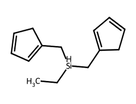 CC[SiH](CC1=CC=CC1)CC1=CC=CC1